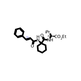 CCOC(=O)[C@@H](NC(=O)C1(NC(=O)/C=C/c2ccccc2)CCCCC1)C(C)C